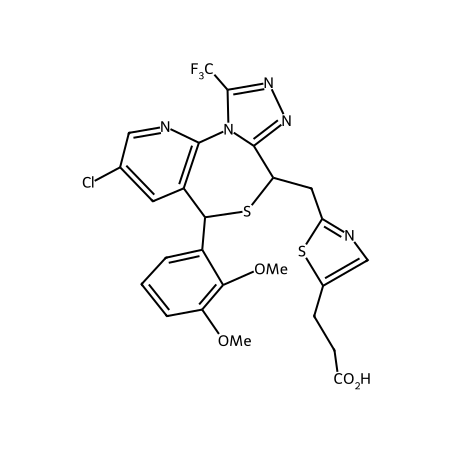 COc1cccc(C2SC(Cc3ncc(CCC(=O)O)s3)c3nnc(C(F)(F)F)n3-c3ncc(Cl)cc32)c1OC